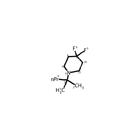 CCCC(C)(C)N1CCC(F)(F)CC1